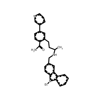 CCn1c2ccccc2c2cc(CNC(C)CCc3cc(-c4cccnc4)ccc3C(N)=O)ccc21